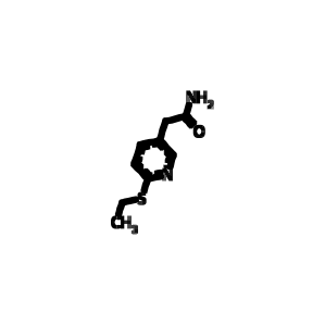 CCSc1ccc(CC(N)=O)cn1